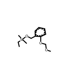 CC[Si](C)(C)OCc1ccccc1OCOC